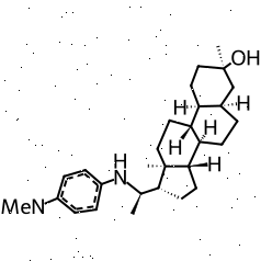 CNc1ccc(N[C@H](C)[C@H]2CC[C@H]3[C@@H]4CC[C@@H]5C[C@](C)(O)CC[C@@H]5[C@H]4CC[C@]23C)cc1